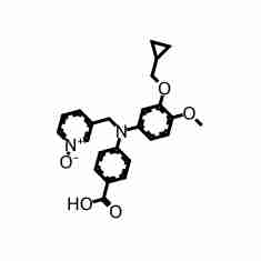 COc1ccc(N(Cc2ccc[n+]([O-])c2)c2ccc(C(=O)O)cc2)cc1OCC1CC1